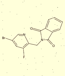 O=C1c2ccccc2C(=O)N1Cc1ncc(Br)cc1F